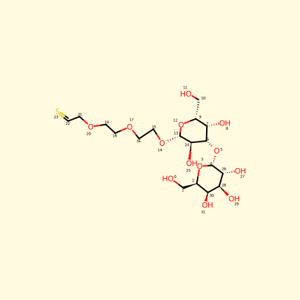 OC[C@H]1O[C@H](O[C@H]2[C@@H](O)[C@@H](CO)O[C@@H](OCCOCCOCC=S)[C@@H]2O)[C@H](O)[C@@H](O)[C@H]1O